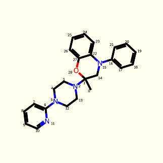 CC1(N2CCN(c3ccccn3)CC2)CN(c2ccccc2)c2ccccc2O1